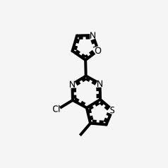 Cc1csc2nc(-c3ccno3)nc(Cl)c12